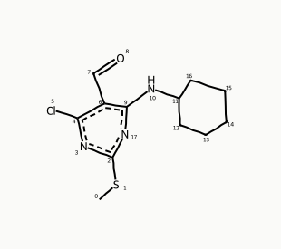 CSc1nc(Cl)c(C=O)c(NC2CCCCC2)n1